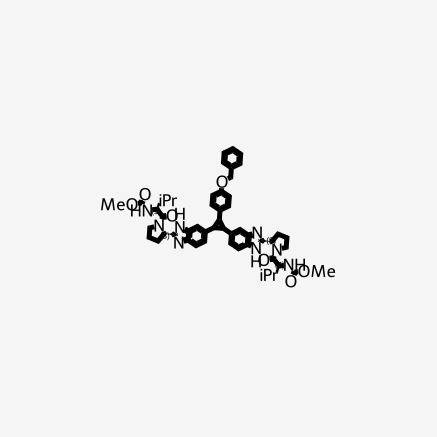 COC(=O)N[C@H](C(=O)N1CCC[C@H]1c1nc2cc(C3C(c4ccc(OCc5ccccc5)cc4)C3c3ccc4nc([C@@H]5CCCN5C(=O)[C@@H](NC(=O)OC)C(C)C)[nH]c4c3)ccc2[nH]1)C(C)C